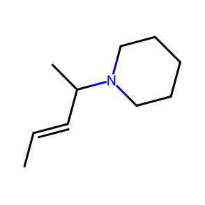 CC=CC(C)N1CCCCC1